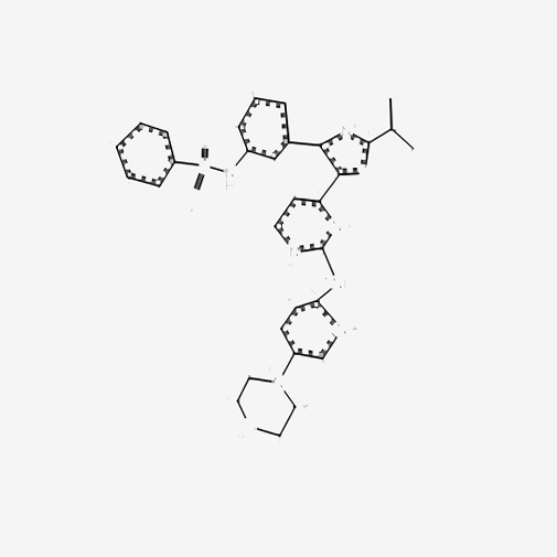 CC(C)c1nc(-c2cccc(NS(=O)(=O)c3ccccc3)c2)c(-c2ccnc(Nc3ccc(N4CCOCC4)cn3)n2)s1